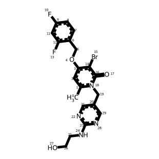 Cc1cc(OCc2ccc(F)cc2F)c(Br)c(=O)n1Cc1cnc(NCCO)nc1